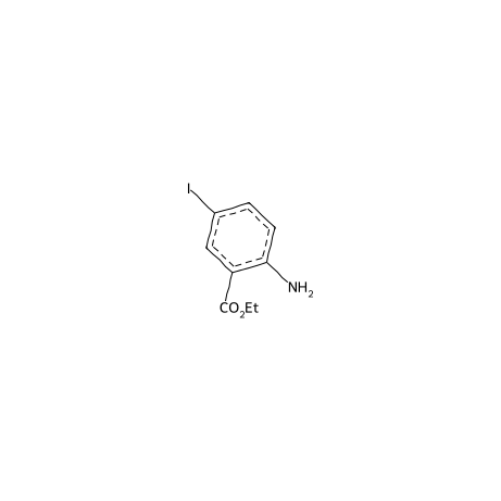 CCOC(=O)c1cc(I)ccc1N